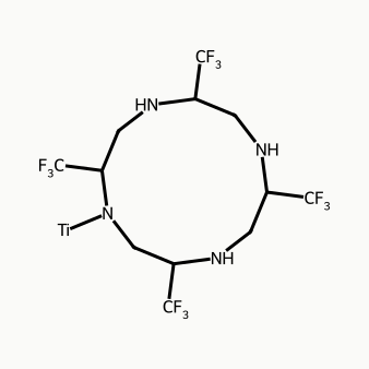 FC(F)(F)C1CNC(C(F)(F)F)C[N]([Ti])C(C(F)(F)F)CNC(C(F)(F)F)CN1